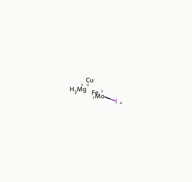 [Cu].[Fe].[MgH2].[Mo][I]